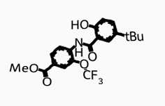 COC(=O)c1ccc(NC(=O)c2cc(C(C)(C)C)ccc2O)c(OC(F)(F)F)c1